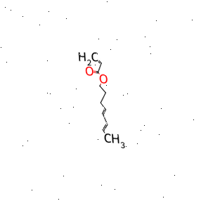 C=CC(=O)OCCCC=CC=CC